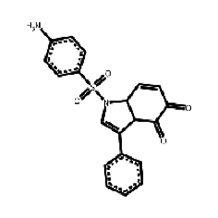 Nc1ccc(S(=O)(=O)N2C=C(c3ccccc3)C3C(=O)C(=O)C=CC32)cc1